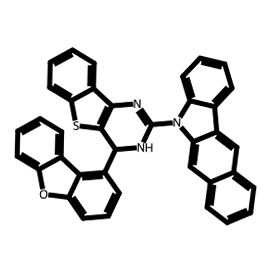 c1ccc2cc3c(cc2c1)c1ccccc1n3C1=Nc2c(sc3ccccc23)C(c2cccc3oc4ccccc4c23)N1